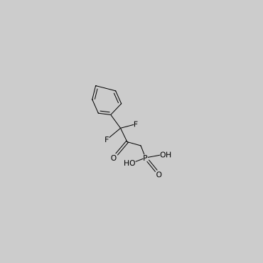 O=C(CP(=O)(O)O)C(F)(F)c1ccccc1